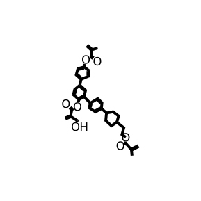 C=C(C)C(=O)OCCC1CCC(c2ccc(-c3cc(-c4ccc(OC(=O)C(=C)C)cc4)ccc3OC(=O)C(=C)CO)cc2)CC1